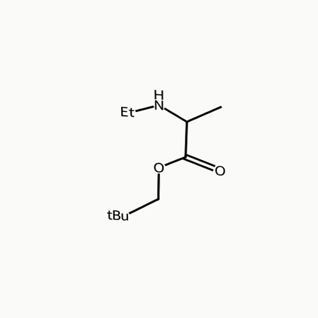 CCNC(C)C(=O)OCC(C)(C)C